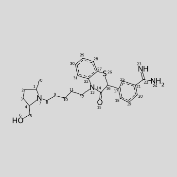 CC1CCC(CO)N1CCCCCN1C(=O)C(c2cccc(C(=N)N)c2)Sc2ccccc21